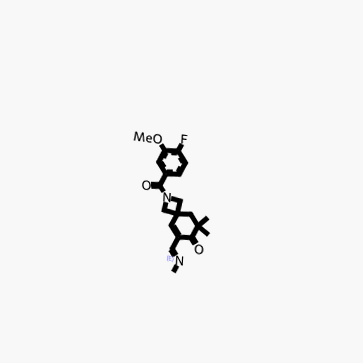 C/N=C/C1=CC2(CN(C(=O)c3ccc(F)c(OC)c3)C2)CC(C)(C)C1=O